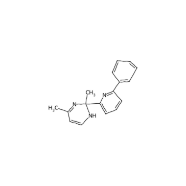 CC1=NC(C)(c2cccc(-c3ccccc3)n2)NC=C1